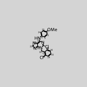 COc1ccc(Nc2ncn(Cc3c(Cl)cccc3Cl)c3ncnc2-3)cc1